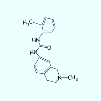 Cc1ccccc1NC(=O)Nc1ccc2c(c1)CN(C)CC2